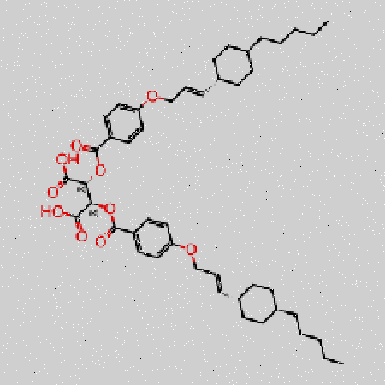 CCCCC[C@H]1CC[C@H](C=CCOc2ccc(C(=O)O[C@@H](C(=O)O)[C@@H](OC(=O)c3ccc(OCC=C[C@H]4CC[C@H](CCCCC)CC4)cc3)C(=O)O)cc2)CC1